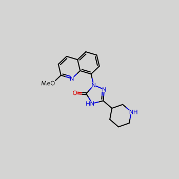 COc1ccc2cccc(-n3nc(C4CCCNC4)[nH]c3=O)c2n1